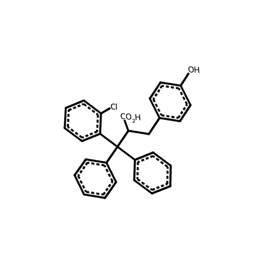 O=C(O)C(Cc1ccc(O)cc1)C(c1ccccc1)(c1ccccc1)c1ccccc1Cl